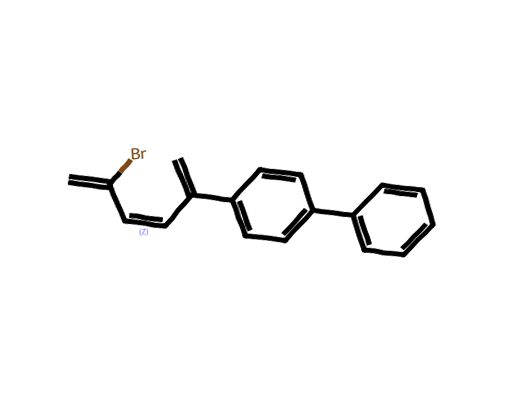 C=C(Br)/C=C\C(=C)c1ccc(-c2ccccc2)cc1